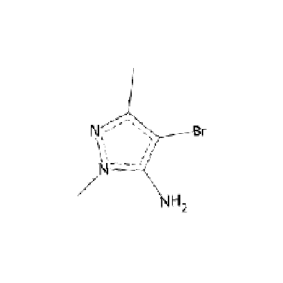 Cc1nn(C)c(N)c1Br